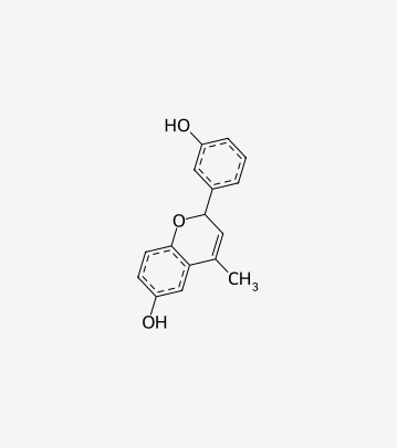 CC1=CC(c2cccc(O)c2)Oc2ccc(O)cc21